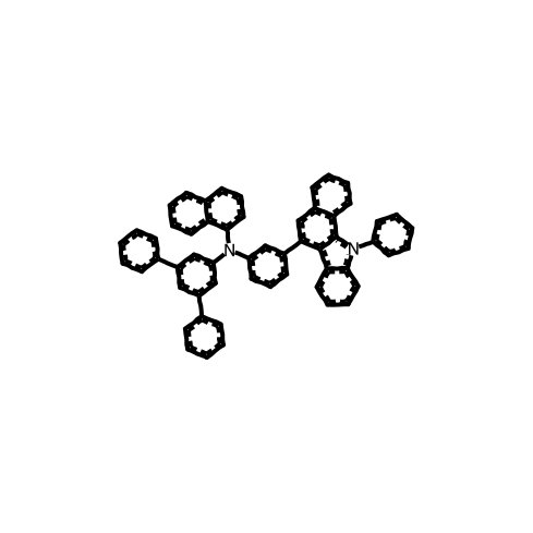 c1ccc(-c2cc(-c3ccccc3)cc(N(c3cccc(-c4cc5ccccc5c5c4c4ccccc4n5-c4ccccc4)c3)c3cccc4ccccc34)c2)cc1